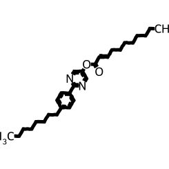 CCCCCCCCC=CC(=O)Oc1cnc(-c2ccc(CCCCCCCC)cc2)nc1